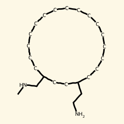 CNCC1CCCCCCCCCCCCCCCCC(CCN)CC1